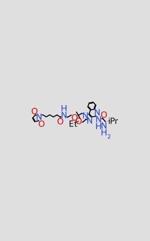 CCOCc1nc2c(NC(=O)[C@@H](N)C(C)C)nc3ccccc3c2n1CC(C)(C)OCCNC(=O)CCCCCN1C(=O)C=CC1=O